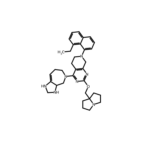 CCc1cccc2cccc(N3CCc4c(nc(OCC56CCCN5CCC6)nc4N4CCC=C5NCNC5C4)C3)c12